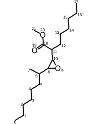 CCCCCCC(C)C1OC1C(CCCCCC)C(=O)OC